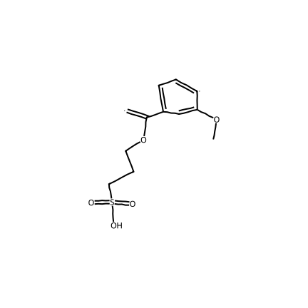 [CH]=C(OCCCS(=O)(=O)O)c1cc[c]c(OC)c1